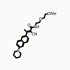 COCCOCCNC(=O)/C(C#N)=C(\C)c1ccc2cc(N3CCCCC3)ccc2c1